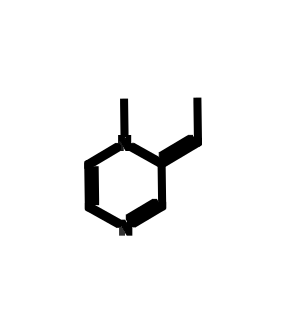 C/C=C1/C=NC=CN1C